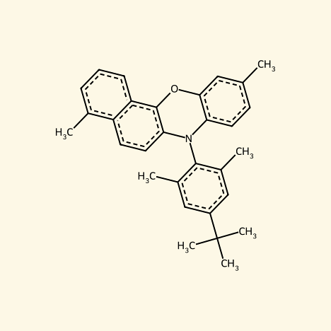 Cc1ccc2c(c1)Oc1c(ccc3c(C)cccc13)N2c1c(C)cc(C(C)(C)C)cc1C